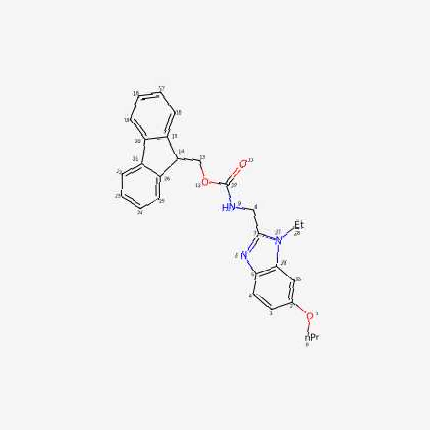 CCCOc1ccc2nc(CNC(=O)OCC3c4ccccc4-c4ccccc43)n(CC)c2c1